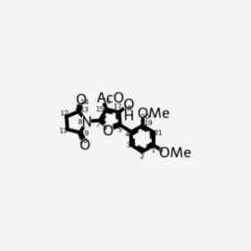 COc1ccc(-c2oc(N3C(=O)CCC3=O)c(OC(C)=O)c2O)c(OC)c1